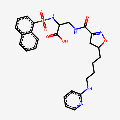 O=C(NCC(NS(=O)(=O)c1cccc2ccccc12)C(=O)O)C1=NOC(CCCCNc2ccccn2)C1